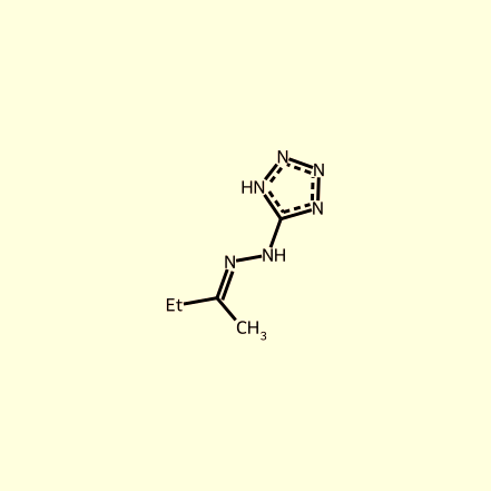 CC/C(C)=N/Nc1nnn[nH]1